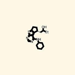 CCC(O)C[C@H]1CCc2sc3ncnc(NC4CCCCC4)c3c21